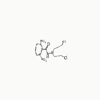 O=C(NN(CCCl)CCCl)c1c([N+](=O)[O-])cccc1[N+](=O)[O-]